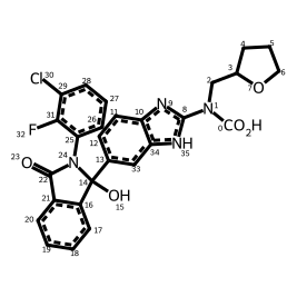 O=C(O)N(CC1CCCO1)c1nc2ccc(C3(O)c4ccccc4C(=O)N3c3cccc(Cl)c3F)cc2[nH]1